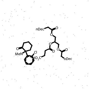 CCCCCCCCCCCC(=O)OCC(COC(=O)CCCCCCCCCCC)OC(=O)CCC(=O)O.CNC1(c2ccccc2Cl)CCCCC1=O